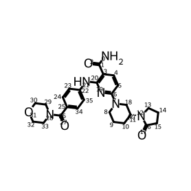 NC(=O)c1ccc(N2CCC[C@@H](N3CCCC3=O)C2)nc1Nc1ccc(C(=O)N2CCOCC2)cc1